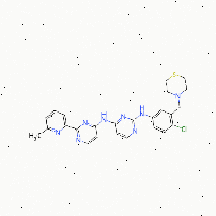 Cc1cccc(-c2nccc(Nc3ccnc(Nc4ccc(Cl)c(CN5CCSCC5)c4)n3)n2)n1